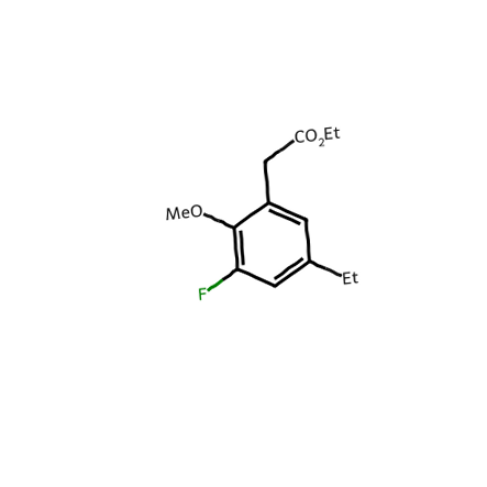 CCOC(=O)Cc1cc(CC)cc(F)c1OC